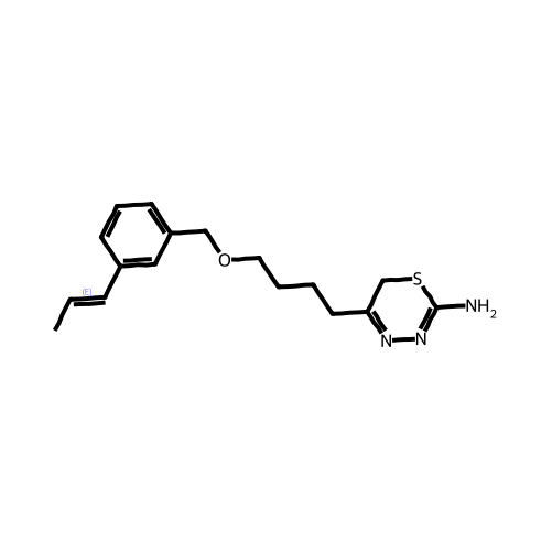 C/C=C/c1cccc(COCCCCC2=NN=C(N)SC2)c1